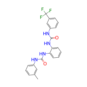 Cc1cccc(NC(=O)Nc2ccccc2NC(=O)Nc2cccc(C(F)(F)F)c2)c1